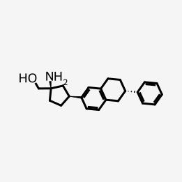 N[C@]1(CO)CC[C@H](c2ccc3c(c2)CC[C@H](c2ccccc2)C3)C1